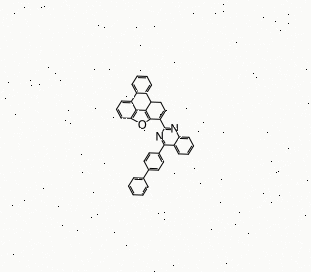 C1=C(c2nc(-c3ccc(-c4ccccc4)cc3)c3ccccc3n2)c2oc3cccc4c3c2C(C1)c1ccccc1-4